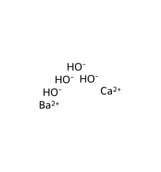 [Ba+2].[Ca+2].[OH-].[OH-].[OH-].[OH-]